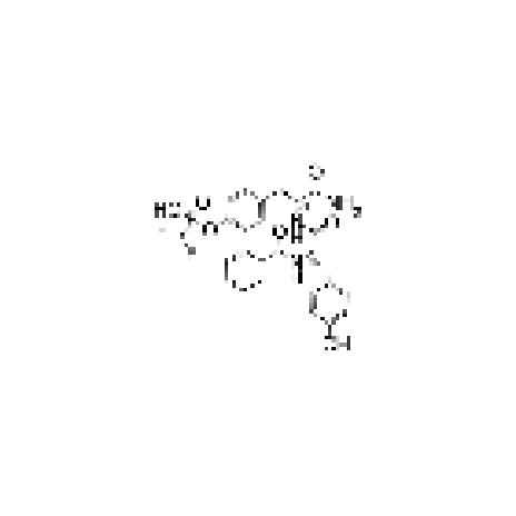 NC(=O)[C@H](Cc1ccc(OP(=O)(O)C(F)F)cc1)NC(=O)[C@H](Cc1ccc(O)cc1)NC(=O)c1ccccc1